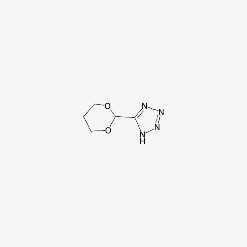 C1CO[C](c2nnn[nH]2)OC1